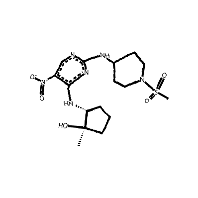 C[C@@]1(O)CCC[C@H]1Nc1nc(NC2CCN(S(C)(=O)=O)CC2)ncc1[N+](=O)[O-]